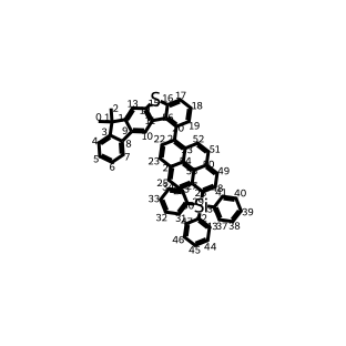 CC1(C)c2ccccc2-c2cc3c(cc21)sc1cccc(-c2ccc4ccc5c([Si](c6ccccc6)(c6ccccc6)c6ccccc6)ccc6ccc2c4c65)c13